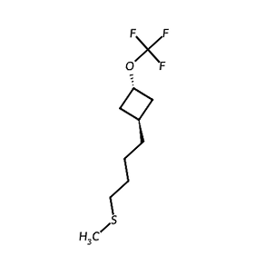 CSCCCC[C@H]1C[C@H](OC(F)(F)F)C1